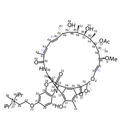 CO[C@H]1/C=C/O[C@@]2(C)Oc3c(C)c(O)c4c(=O)c(c5oc6cc(OCC[N+](C)(C(C)C)C(C)C)ccc6nc-5c4c3C2=O)NC(=O)/C(C)=C\C=C\[C@H](C)[C@H](O)[C@@H](C)[C@@H](O)[C@@H](C)[C@H](OC(C)=O)[C@@H]1C